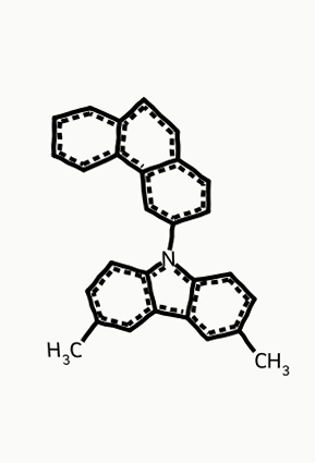 Cc1ccc2c(c1)c1cc(C)ccc1n2-c1ccc2ccc3ccccc3c2c1